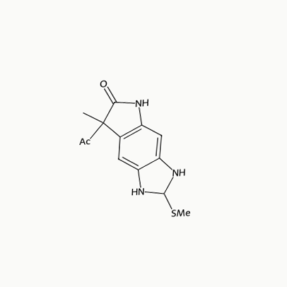 CSC1Nc2cc3c(cc2N1)C(C)(C(C)=O)C(=O)N3